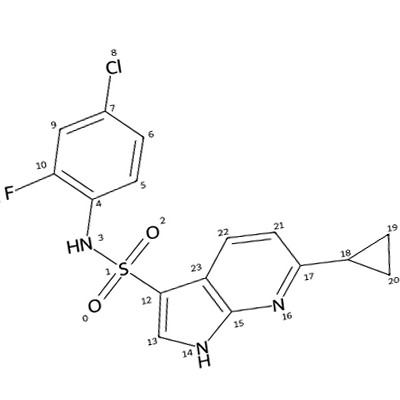 O=S(=O)(Nc1ccc(Cl)cc1F)c1c[nH]c2nc(C3CC3)ccc12